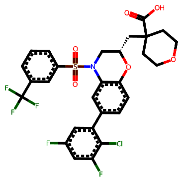 O=C(O)C1(C[C@H]2CN(S(=O)(=O)c3cccc(C(F)(F)F)c3)c3cc(-c4cc(F)cc(F)c4Cl)ccc3O2)CCOCC1